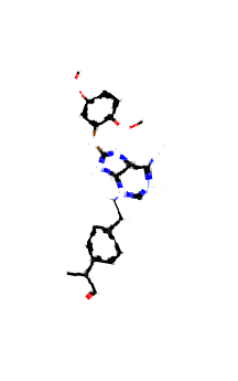 COc1ccc(OC)c(Sc2nc3c(N)ncn(CCc4ccc(C(C)C=O)cc4)c-3n2)c1